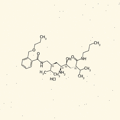 CCCCNC(=O)[C@@H](C[C@H](O)[C@@H](N)C[C@H](CNC(=O)c1ccccc1COCCC)C(C)C)C(C)C.Cl